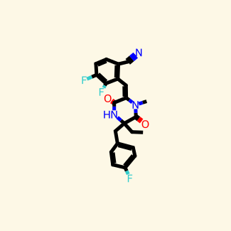 CCC1(Cc2ccc(F)cc2)NC(=O)/C(=C\c2c(C#N)ccc(F)c2F)N(C)C1=O